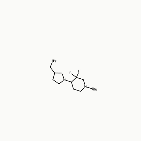 CCC(C)N1CCC(N2CCC(CC(C)C)C2)C(F)(F)C1